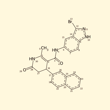 CC1=C(C(=O)Nc2ccc3[nH]nc(Br)c3c2)C(c2ccc3ccccc3c2)CC(=O)N1